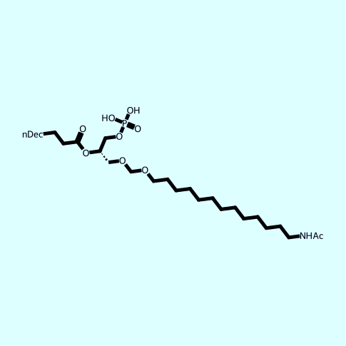 CCCCCCCCCCCCC(=O)O[C@@H](COCOCCCCCCCCCCCCCNC(C)=O)COP(=O)(O)O